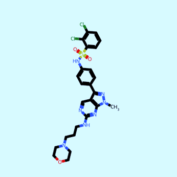 Cn1nc(-c2ccc(NS(=O)(=O)c3cccc(Cl)c3Cl)cc2)c2cnc(NCCCN3CCOCC3)nc21